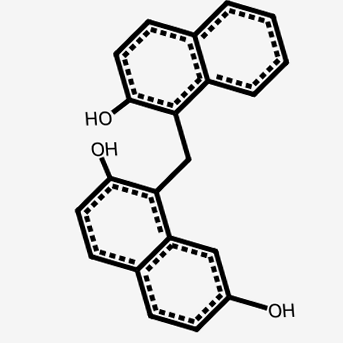 Oc1ccc2ccc(O)c(Cc3c(O)ccc4ccccc34)c2c1